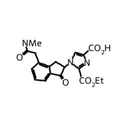 CCOC(=O)c1nc(C(=O)O)cn1C1Cc2c(CC(=O)NC)cccc2C1=O